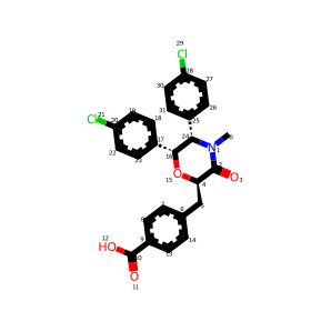 CN1C(=O)[C@@H](Cc2ccc(C(=O)O)cc2)O[C@H](c2ccc(Cl)cc2)[C@@H]1c1ccc(Cl)cc1